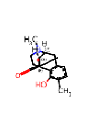 Cc1ccc2c(c1O)[C@@]13CCN(C)[C@@H](C2)[C@H]1CCC(=O)C3